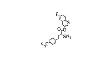 N[C@H](CCc1ccc(C(F)(F)F)cc1)C(=O)Oc1cnc2ccc(F)cc2c1